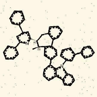 C[C@@H]1c2cc(-c3cccc4c5ccccc5n(-c5cccc(-c6ccccc6)c5)c34)ccc2-c2ccccc2C[C@H]1c1cc(-c2ccccc2)cc(-c2ccccc2)n1